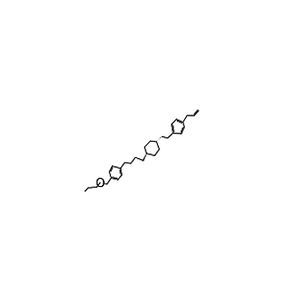 C=CCc1ccc(CC[C@H]2CC[C@H](CCCCc3ccc(COCCC)cc3)CC2)cc1